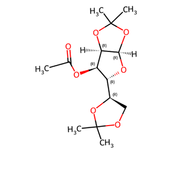 CC(=O)O[C@H]1[C@H]2OC(C)(C)O[C@H]2O[C@@H]1[C@H]1COC(C)(C)O1